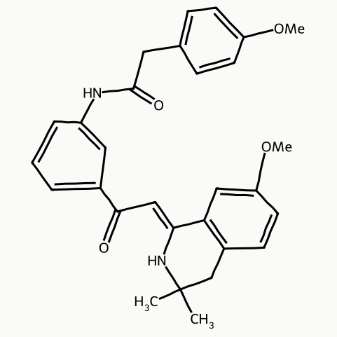 COc1ccc(CC(=O)Nc2cccc(C(=O)C=C3NC(C)(C)Cc4ccc(OC)cc43)c2)cc1